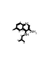 Cc1ccc2ncc(N)c(NCC(C)C)c2c1